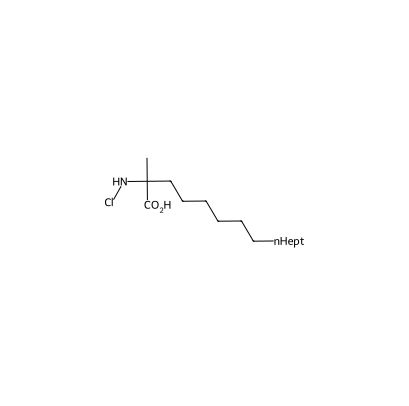 CCCCCCCCCCCCCC(C)(NCl)C(=O)O